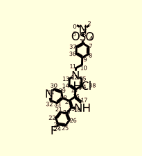 CN(C)S(=O)(=O)c1ccc(CCN2CC=C(c3c[nH]c(-c4ccc(F)cc4)c3-c3ccncc3)CC2)cc1.Cl